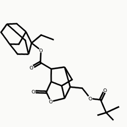 CCC1(OC(=O)C2C3CC4C(OC(=O)C42)C3COC(=O)C(C)(C)C)C2CC3CC(C2)CC1C3